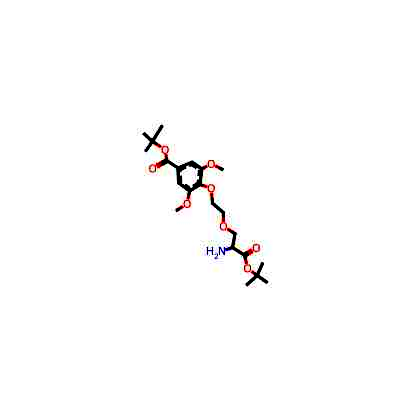 COc1cc(C(=O)OC(C)(C)C)cc(OC)c1OCCOCC(N)C(=O)OC(C)(C)C